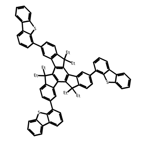 CCC1(CC)c2ccc(-c3cccc4c3sc3ccccc34)cc2-c2c1c1c(c3c2C(CC)(CC)c2ccc(-c4cccc5c4sc4ccccc45)cc2-3)C(CC)(CC)c2ccc(-c3cccc4c3sc3ccccc34)cc2-1